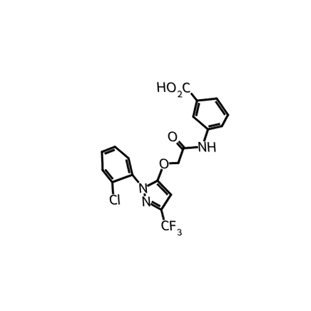 O=C(COc1cc(C(F)(F)F)nn1-c1ccccc1Cl)Nc1cccc(C(=O)O)c1